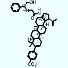 C=C(C)[C@@H]1CC[C@]2(NC(=O)CN[C@H](CO)c3ccccc3)CC[C@]3(C)[C@H](CC[C@@H]4[C@@]5(C)CC=C(c6ccc(C(=O)O)cc6)C(C)(C)[C@@H]5CC[C@]43C)[C@@H]12